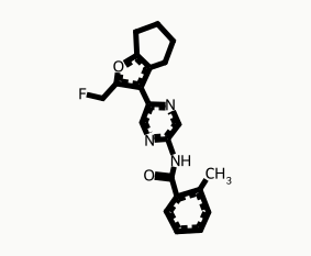 Cc1ccccc1C(=O)Nc1cnc(-c2c(CF)oc3c2CCCC3)cn1